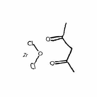 CC(=O)CC(C)=O.ClOCl.[Zr]